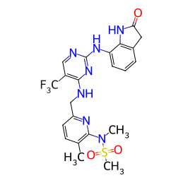 Cc1ccc(CNc2nc(Nc3cccc4c3NC(=O)C4)ncc2C(F)(F)F)nc1N(C)S(C)(=O)=O